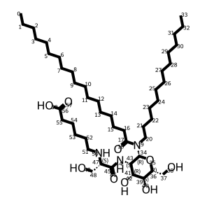 CCCCCCCCCCCCCCCCCC(=O)N(CCCCCCCCCCCCCC)[C@@H]1O[C@H](CO)[C@@H](O)[C@H](O)[C@@H]1NC(=O)[C@H](CO)NCCCCCC(=O)O